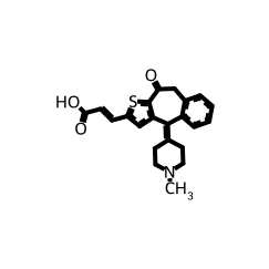 CN1CCC(=C2c3ccccc3CC(=O)c3sc(C=CC(=O)O)cc32)CC1